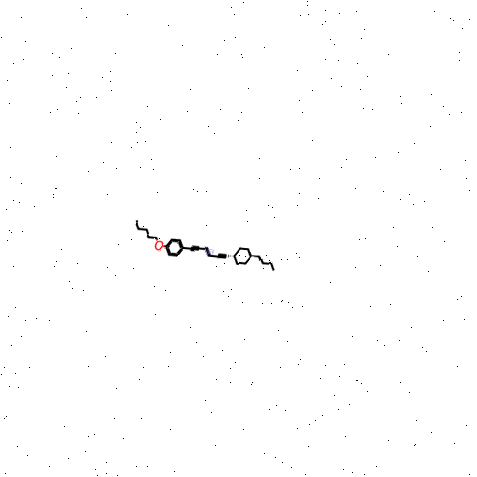 CCCCCOc1ccc(C#C/C=C/C#C[C@H]2CC[C@H](CCCC)CC2)cc1